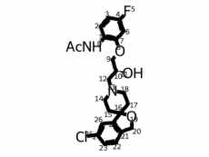 CC(=O)Nc1ccc(F)cc1OC[C@H](O)CN1CCC2(CC1)OCc1ccc(Cl)cc12